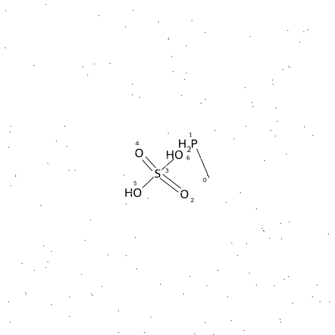 CP.O=S(=O)(O)O